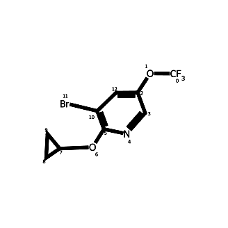 FC(F)(F)Oc1cnc(OC2CC2)c(Br)c1